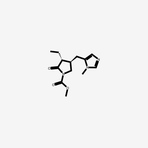 CC[C@H]1C(=O)N(C(=O)OC)C[C@@H]1Cc1cncn1C